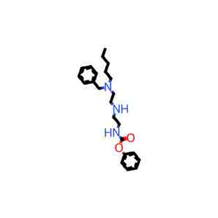 CCCCCN(CCNCCNC(=O)Oc1ccccc1)Cc1ccccc1